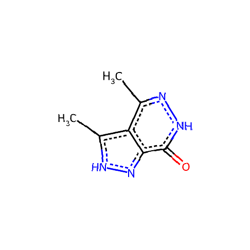 Cc1n[nH]c(=O)c2n[nH]c(C)c12